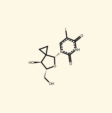 O=c1[nH]c(=O)n([C@@H]2O[C@H](CO)[C@@H](O)C23CC3)cc1I